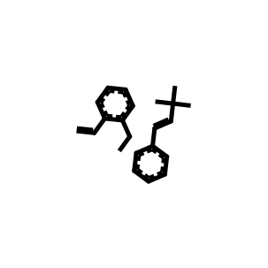 C=Cc1ccccc1CC.CC(C)(C)C=Cc1ccccc1